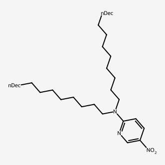 CCCCCCCCCCCCCCCCCCN(CCCCCCCCCCCCCCCCCC)c1ccc([N+](=O)[O-])cn1